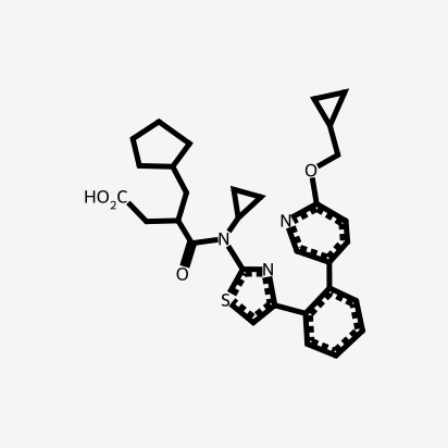 O=C(O)CC(CC1CCCC1)C(=O)N(c1nc(-c2ccccc2-c2ccc(OCC3CC3)nc2)cs1)C1CC1